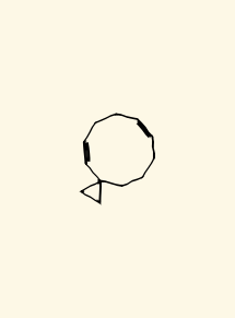 C1=CCCCC2(C=CCC1)CC2